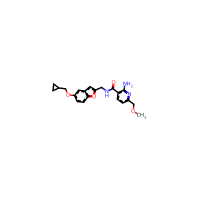 COCc1ccc(C(=O)NCc2cc3cc(OCC4CC4)ccc3o2)c(N)n1